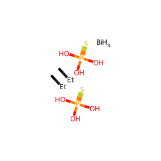 CCC.CCC.OP(O)(O)=S.OP(O)(O)=S.[BiH3]